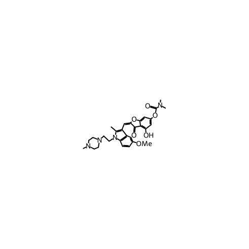 COc1ccc2c(c1)c(C=C1Oc3cc(OC(=O)N(C)C)cc(O)c3C1=O)c(C)n2CCN1CCN(C)CC1